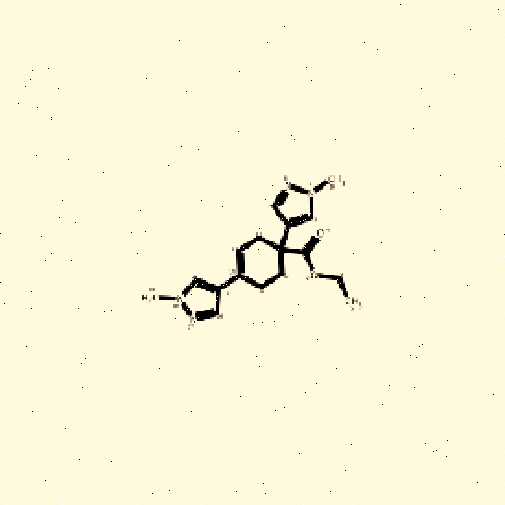 CCOC(=O)C1(c2cnn(C)c2)CC=C(c2cnn(C)c2)CC1